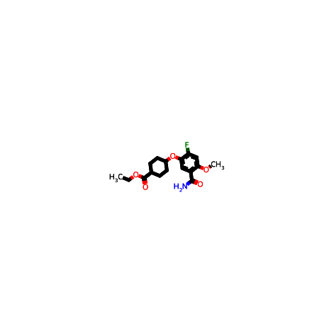 CCOC(=O)C1CCC(Oc2cc(C(N)=O)c(OC)cc2F)CC1